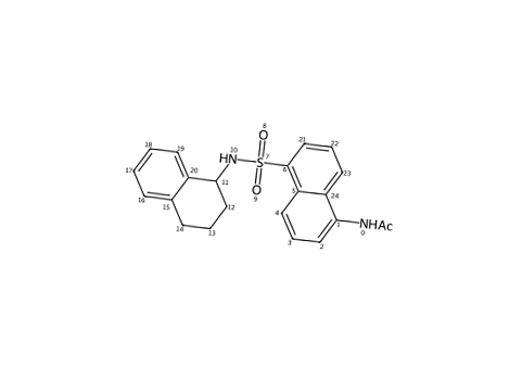 CC(=O)Nc1cccc2c(S(=O)(=O)NC3CCCc4ccccc43)cccc12